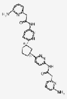 Nc1cccc(CC(=O)Nc2ccc([C@H]3CCC[C@H](c4ccc(NC(=O)Cc5cccc(N)n5)nn4)C3)nn2)n1